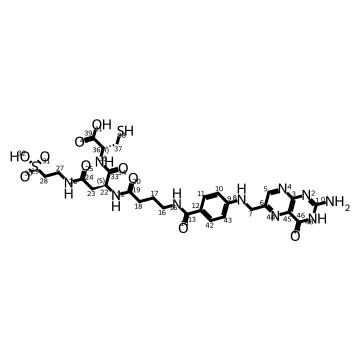 Nc1nc2ncc(CNc3ccc(C(=O)NCCCC(=O)N[C@@H](CC(=O)NCCS(=O)(=O)O)C(=O)N[C@@H](CS)C(=O)O)cc3)nc2c(=O)[nH]1